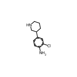 Nc1ccc(C2CCCNC2)cc1Cl